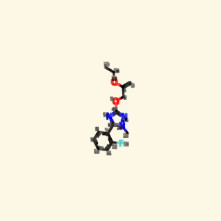 C=C(COc1nc(-c2ccccc2F)n(C)n1)OCC